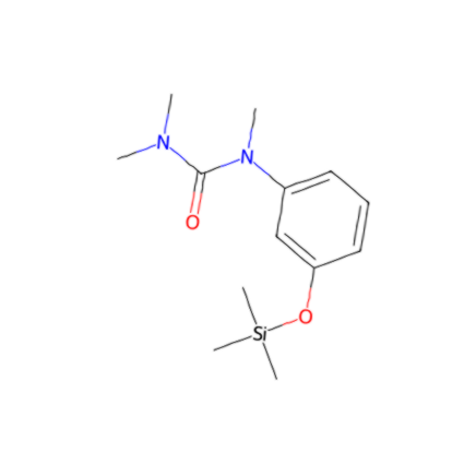 CN(C)C(=O)N(C)c1cccc(O[Si](C)(C)C)c1